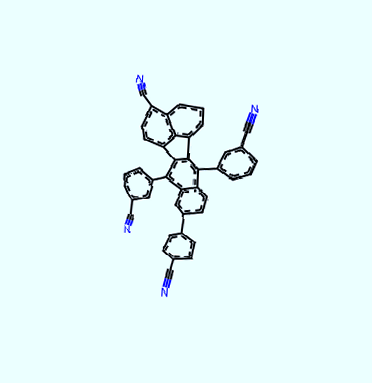 N#Cc1ccc(-c2ccc3c(-c4cccc(C#N)c4)c4c(c(-c5cccc(C#N)c5)c3c2)-c2ccc(C#N)c3cccc-4c23)cc1